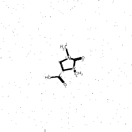 CN1C[C@@H](C(=O)O)N(C)C1=O